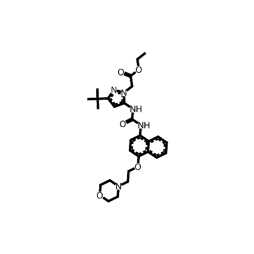 CCOC(=O)Cn1nc(C(C)(C)C)cc1NC(=O)Nc1ccc(OCCN2CCOCC2)c2ccccc12